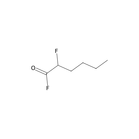 CCCCC(F)C(=O)F